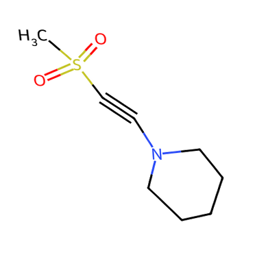 CS(=O)(=O)C#CN1CCCCC1